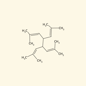 CC(C)=CC(C=C(C)C)C(C=C(C)C)C=C(C)C